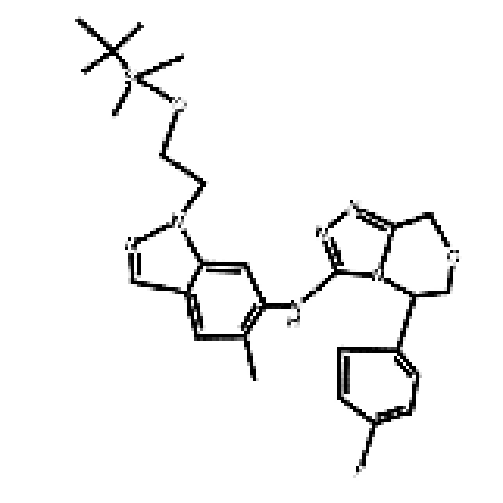 Cc1cc2cnn(CCO[Si](C)(C)C(C)(C)C)c2cc1Nc1nnc2n1C(c1ccc(F)cc1)COC2